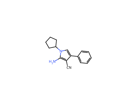 N#Cc1c(-c2ccccc2)cn(C2CCCC2)c1N